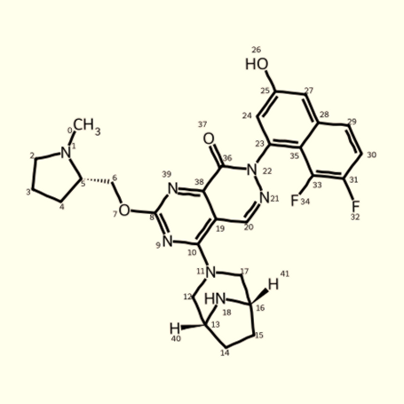 CN1CCC[C@H]1COc1nc(N2C[C@H]3CC[C@@H](C2)N3)c2cnn(-c3cc(O)cc4ccc(F)c(F)c34)c(=O)c2n1